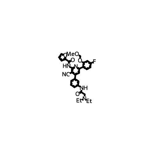 CCN(CC)CC(=O)Nc1cccc(-c2cc(-c3ccc(F)cc3OCOC)nc(NC(=O)c3ccco3)c2C#N)c1